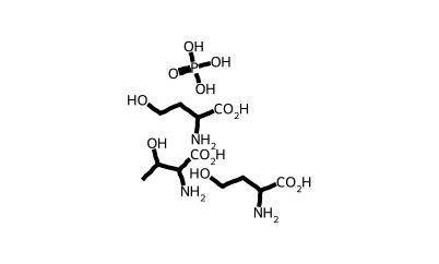 CC(O)C(N)C(=O)O.NC(CCO)C(=O)O.NC(CCO)C(=O)O.O=P(O)(O)O